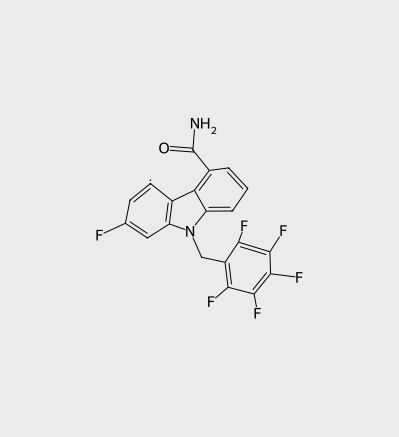 NC(=O)c1cccc2c1c1[c]cc(F)cc1n2Cc1c(F)c(F)c(F)c(F)c1F